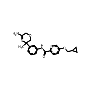 CC1(c2cccc(NC(=O)c3ccc(OCC4CC4)cn3)c2)COCC(N)=N1